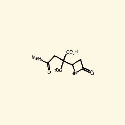 CNC(=O)CC(C(=O)O)(C1CC(=O)N1)C(C)(C)C